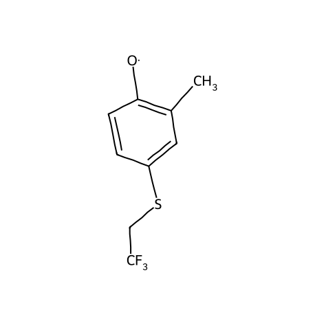 Cc1cc(SCC(F)(F)F)ccc1[O]